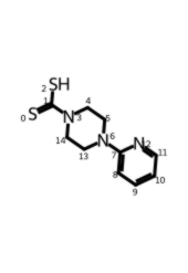 S=C(S)N1CCN(c2ccccn2)CC1